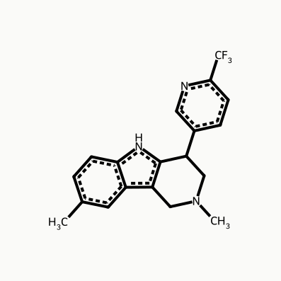 Cc1ccc2[nH]c3c(c2c1)CN(C)CC3c1ccc(C(F)(F)F)nc1